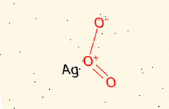 O=[O+][O-].[Ag]